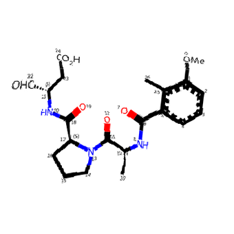 COc1cccc(C(=O)N[C@@H](C)C(=O)N2CCC[C@H]2C(=O)N[C@H](C=O)CC(=O)O)c1C